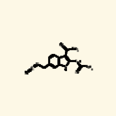 [N-]=[N+]=NCc1ccc2c(C(N)=O)c(NC(N)=O)[nH]c2c1